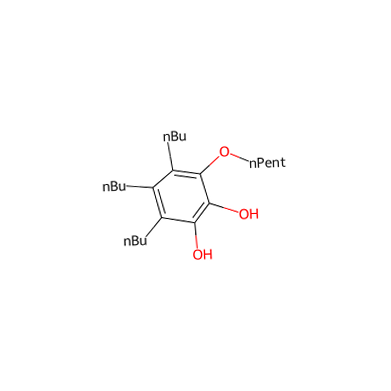 CCCCCOc1c(O)c(O)c(CCCC)c(CCCC)c1CCCC